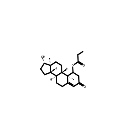 CCC(=O)OC1CC(=O)C=C2CC[C@H]3[C@@H]4CC[C@H](O)[C@@]4(C)CC[C@@H]3[C@]21C